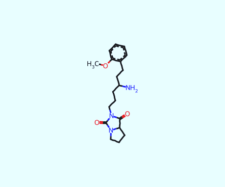 COc1ccccc1CCC(N)CCCN1C(=O)C2CCCN2C1=O